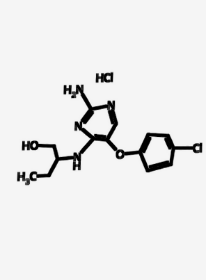 CCC(CO)Nc1nc(N)ncc1Oc1ccc(Cl)cc1.Cl